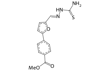 COC(=O)c1ccc(-c2ccc(C=NNC(N)=S)o2)cc1